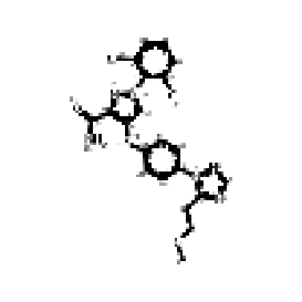 COCCc1ncnn1-c1ccc(Nc2cn(-c3c(Cl)cccc3Cl)nc2C(N)=O)cc1